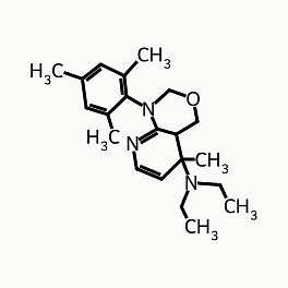 CCN(CC)C1(C)C=CN=C2C1COCN2c1c(C)cc(C)cc1C